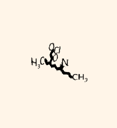 CCCCC(C#N)CCCC(CCC)C(=O)CC(=O)Cl